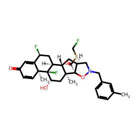 Cc1cccc(CN2C[C@@H]3C[C@H]4[C@@H]5C[C@H](F)C6=CC(=O)C=C[C@]6(C)[C@@]5(F)[C@@H](O)C[C@]4(C)[C@]3(C(=O)SCF)O2)c1